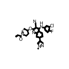 C=CC(=O)N1CCC(Oc2nc3cc(-c4cnn(C)c4)ccc3c(Nc3ccc(F)c(Cl)c3)c2C#N)CC1